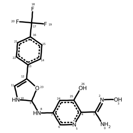 N/C(=N\O)c1ncc(NC2NC=C(c3ccc(C(F)(F)F)cc3)O2)cc1O